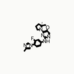 Cc1cn(-c2ccc(Nc3ncc4c(n3)N3CCC[C@@]3(C)CO4)cc2F)cn1